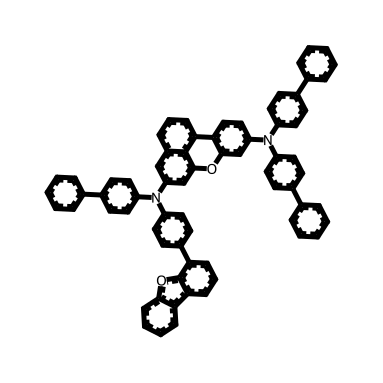 c1ccc(-c2ccc(N(c3ccc(-c4ccccc4)cc3)c3ccc4c(c3)Oc3cc(N(c5ccc(-c6ccccc6)cc5)c5ccc(-c6cccc7c6oc6ccccc67)cc5)cc5cccc-4c35)cc2)cc1